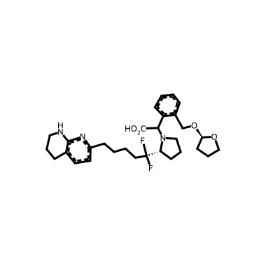 O=C(O)C(c1ccccc1CO[C@@H]1CCCO1)N1CCC[C@@H]1C(F)(F)CCCCc1ccc2c(n1)NCCC2